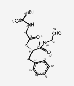 CCCCC(=O)NCC(=O)C[C@@H](Cc1ccccc1)C(=O)NCC=O